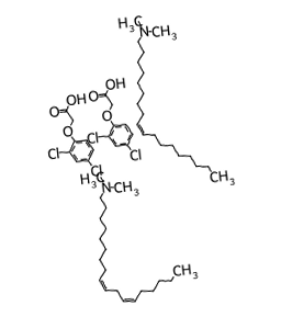 CCCCC/C=C\C/C=C\CCCCCCCCN(C)C.CCCCCCCC/C=C\CCCCCCCCN(C)C.O=C(O)COc1ccc(Cl)cc1Cl.O=C(O)COc1ccc(Cl)cc1Cl